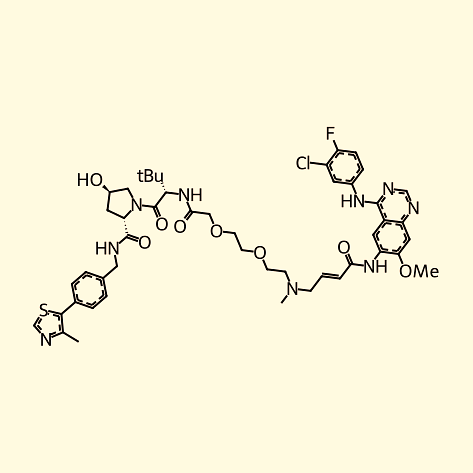 COc1cc2ncnc(Nc3ccc(F)c(Cl)c3)c2cc1NC(=O)/C=C/CN(C)CCOCCOCC(=O)N[C@H](C(=O)N1C[C@H](O)C[C@H]1C(=O)NCc1ccc(-c2scnc2C)cc1)C(C)(C)C